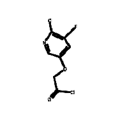 O=C(Cl)COc1cnc(Cl)c(F)c1